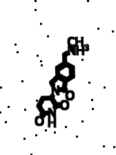 CNCc1ccc2c(c1)CN(C1CCC(=O)NC1=O)C2=O